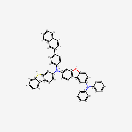 c1ccc(N(c2ccccc2)c2ccc3oc4cc(N(c5ccc(-c6ccc7ccccc7c6)cc5)c5ccc6c(c5)sc5ccccc56)ccc4c3c2)cc1